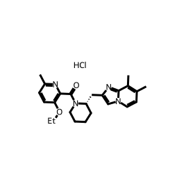 CCOc1ccc(C)nc1C(=O)N1CCCC[C@H]1Cc1cn2ccc(C)c(C)c2n1.Cl